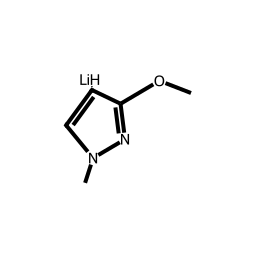 COc1[c]cn(C)n1.[LiH]